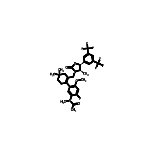 COc1cc(F)c(N(C)C(C)=O)cc1C1=C(CN2C(=O)O[C@H](c3cc(C(F)(F)F)cc(C(F)(F)F)c3)[C@@H]2C)CC(C)(C)CC1